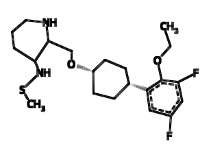 CCOc1c(F)cc(F)cc1[C@H]1CC[C@@H](OCC2NCCCC2NSC)CC1